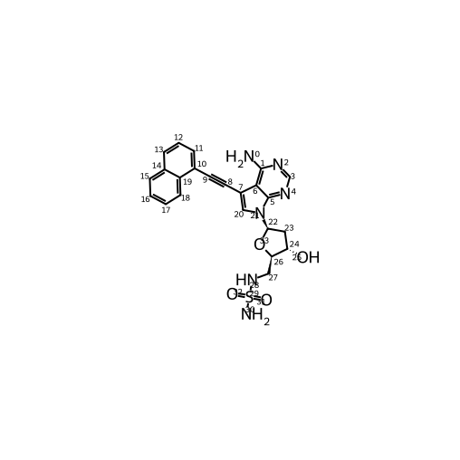 Nc1ncnc2c1c(C#Cc1cccc3ccccc13)cn2[C@H]1C[C@H](O)[C@@H](CNS(N)(=O)=O)O1